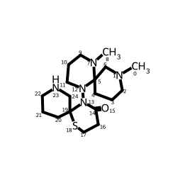 CN1CCCC2(C1)N(C)CCCN2N1C(=O)CCSC12CCCNC2